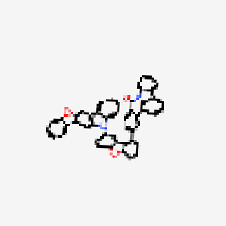 O=c1c2ccc(-c3cccc4oc5ccc(-n6c7ccccc7c7cc8oc9ccccc9c8cc76)cc5c34)cc2c2cccc3c4ccccc4n1c23